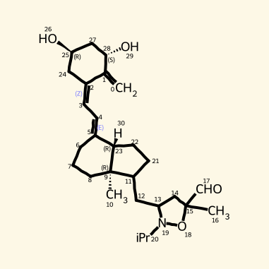 C=C1/C(=C\C=C2/CCC[C@]3(C)C(CC4CC(C)(C=O)ON4C(C)C)CC[C@@H]23)C[C@@H](O)C[C@@H]1O